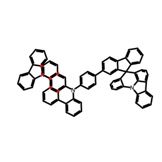 c1ccc(-c2cccc(-c3ccccc3N(c3ccc(-c4ccc5c(c4)C4(c6ccccc6-5)c5ccccc5-n5c6ccccc6c6cccc4c65)cc3)c3ccc(-n4c5ccccc5c5ccccc54)cc3)c2)cc1